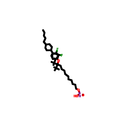 CCCCCC1CCC(c2ccc(OC(CCCCCCCCCCO[PH](=O)O)(C(C)(C)C)C(C)(C)C)c(F)c2F)CC1